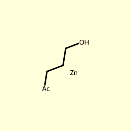 CC(=O)CCCO.[Zn]